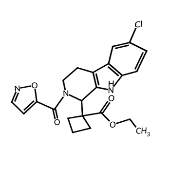 CCOC(=O)C1(C2c3[nH]c4ccc(Cl)cc4c3CCN2C(=O)c2ccno2)CCC1